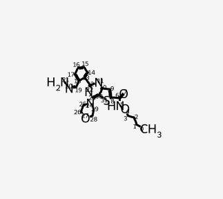 CCCCONC(=O)c1cc2nc(-c3ccccc3/C=N\N)nc(N3CCOCC3)c2s1